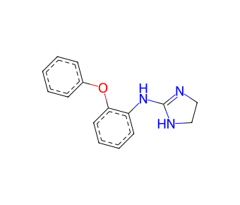 c1ccc(Oc2ccccc2NC2=NCCN2)cc1